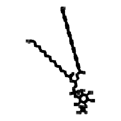 C#CC#CC#CC#CC#CC#CC#CC#CC(=O)OC[C@H](COP(=O)(O)OC1C(O)[C@@H](O)C(O)[C@@H](OP(=O)(O)O)[C@H]1O)OC(=O)CCCCCCCCCCCCCCC